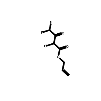 C=CCOC(=O)C(Cl)C(=O)C(F)F